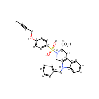 CC#CCOc1ccc(S(=O)(=O)N[C@@H](Cc2c(C)n(Cc3ccccc3)c3ccccc23)C(=O)O)cc1